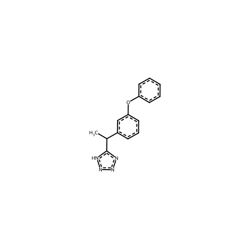 CC(c1cccc(Oc2ccccc2)c1)c1nnn[nH]1